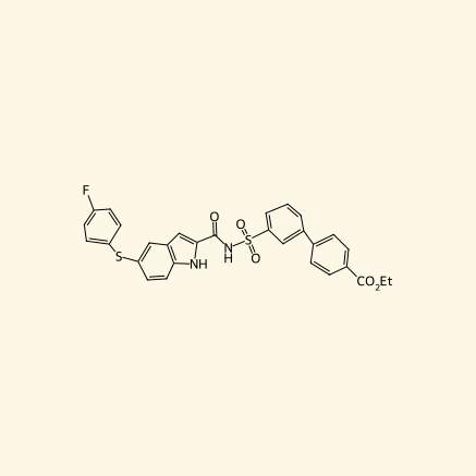 CCOC(=O)c1ccc(-c2cccc(S(=O)(=O)NC(=O)c3cc4cc(Sc5ccc(F)cc5)ccc4[nH]3)c2)cc1